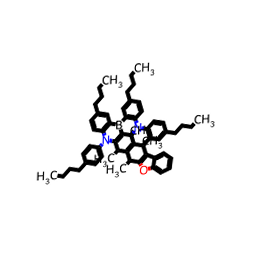 CCCCc1ccc(N2C3=C4B(c5cc(CCCC)ccc52)c2cc(CCCC)ccc2N2c5ccc(CCCC)cc5C5(C)C(=C(C3C)C(C)c3oc6ccccc6c35)C42C)cc1